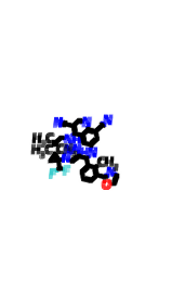 Cc1c(-c2ncco2)cccc1C(Nc1cc(C#N)c2ncc(C#N)c(NCC(C)(C)C)c2c1)c1cn(C2(C(F)F)CC2)nn1